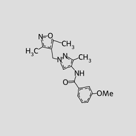 COc1cccc(C(=O)Nc2cn(Cc3c(C)noc3C)nc2C)c1